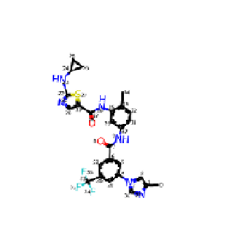 Cc1cn(-c2cc(C(=O)Nc3ccc(C)c(NC(=O)c4cnc(NC5CC5)s4)c3)cc(C(F)(F)F)c2)cn1